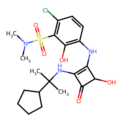 CN(C)S(=O)(=O)c1c(Cl)ccc(NC2=C(NC(C)(C)C3CCCC3)C(=O)C2O)c1O